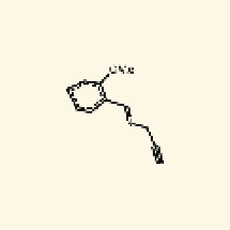 C#CCN=Cc1ccccc1OC